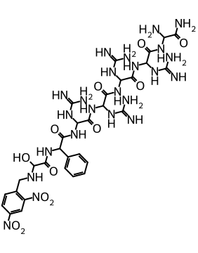 N=C(N)NC(NC(=O)C(NC(=N)N)NC(=O)C(NC(=N)N)NC(=O)C(NC(=N)N)NC(=O)C(NC(=O)C(O)NCc1ccc([N+](=O)[O-])cc1[N+](=O)[O-])c1ccccc1)C(=O)NC(N)C(N)=O